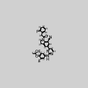 CC(=O)Oc1c(F)cc(Nc2nccc(-c3cc(C#N)c4c(c3)CCN4C(=O)Cc3ccccc3F)n2)cc1F